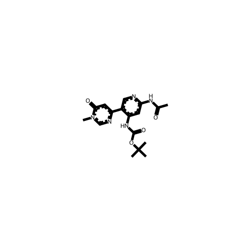 CC(=O)Nc1cc(NC(=O)OC(C)(C)C)c(-c2cc(=O)n(C)cn2)cn1